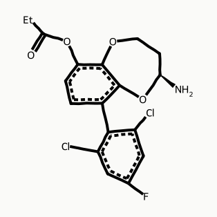 CCC(=O)Oc1ccc(-c2c(Cl)cc(F)cc2Cl)c2c1OCC[C@@H](N)O2